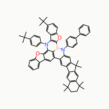 CC(C)(C)c1ccc(N2c3c(oc4ccc(C(C)(C)C)cc34)B3c4c(cc5c(oc6ccccc65)c42)-c2cc4c(cc2N3c2ccc(-c3ccccc3)cc2)C(C)(C)c2cc3c(cc2-4)C(C)(C)CCC3(C)C)cc1